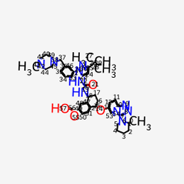 C[C@H]1CCCCN1c1nnc2ccc(O[C@@H]3CC[C@H](NC(=O)Nc4cc(C(C)(C)C)nn4-c4cccc(CN5CCCN(C)CC5)c4)c4ccccc43)cn12.O=CO